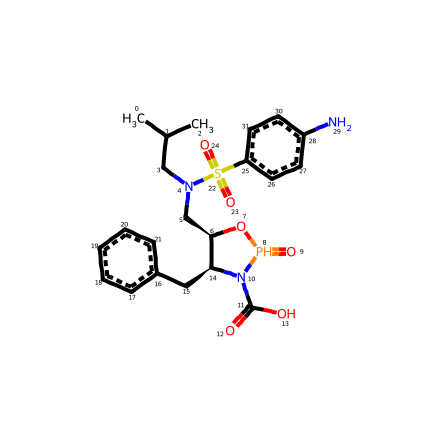 CC(C)CN(C[C@H]1O[PH](=O)N(C(=O)O)[C@H]1Cc1ccccc1)S(=O)(=O)c1ccc(N)cc1